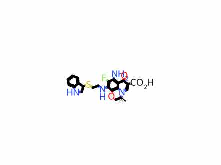 C[C@H]1COc2c(NCCSC3CNc4ccccc43)c(F)c(N)c3c(=O)c(C(=O)O)cn1c23